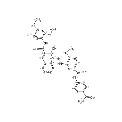 COc1cc(CO)c(NC(=O)C2=Cc3ccccc3/C(=N\Nc3cc(C(=O)Nc4ccc(C(N)=O)cc4)ccc3OC)C2O)cc1Cl